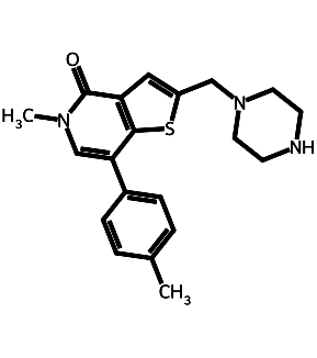 Cc1ccc(-c2cn(C)c(=O)c3cc(CN4CCNCC4)sc23)cc1